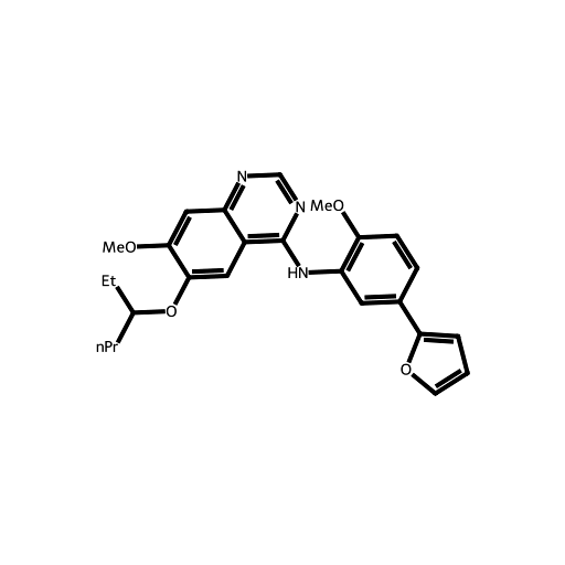 CCCC(CC)Oc1cc2c(Nc3cc(-c4ccco4)ccc3OC)ncnc2cc1OC